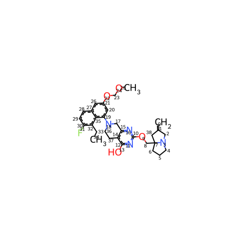 C=C1CN2CCCC2(COc2nc(O)c3c(n2)CN(c2cc(OCOC)cc4ccc(F)c(CC)c24)CC3)C1